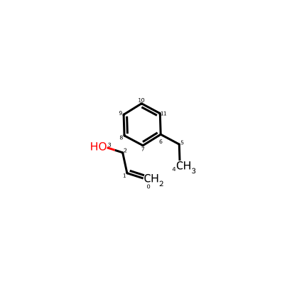 C=CCO.CCc1ccccc1